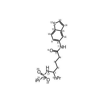 CCCC(CCCC(=O)Nc1ccc2sccc2c1)NS(=O)(=O)C(C)C